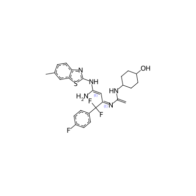 C=C(/N=C(\C=C(/N)Nc1nc2ccc(C)cc2s1)C(F)(F)c1ccc(F)cc1)NC1CCC(O)CC1